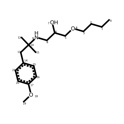 CCCCOCC(O)CNC(C)(C)Cc1ccc(OC)cc1